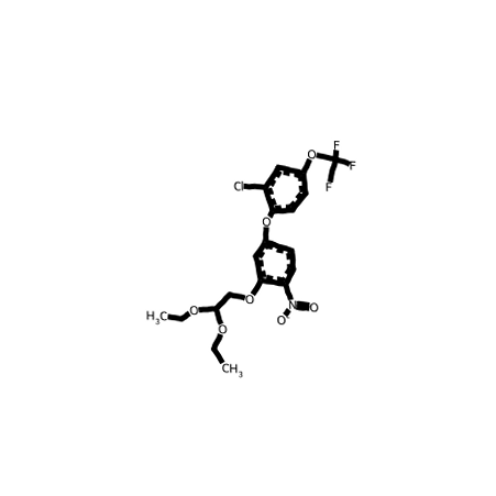 CCOC(COc1cc(Oc2ccc(OC(F)(F)F)cc2Cl)ccc1[N+](=O)[O-])OCC